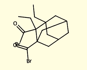 CCC12CC3CC(C1)CC(C(=O)Br)(C3)C2(CC)C(=O)Br